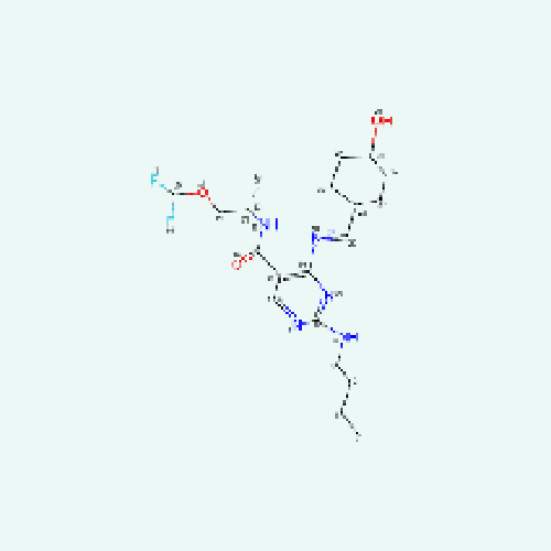 CCCCNc1ncc(C(=O)N[C@@H](C)COC(F)F)c(/N=C/C2CCC(O)CC2)n1